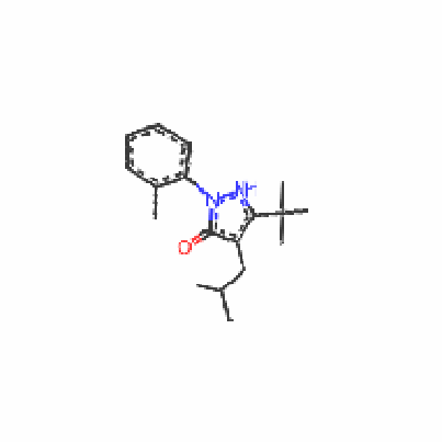 Cc1ccccc1-n1[nH]c(C(C)(C)C)c(CC(C)C)c1=O